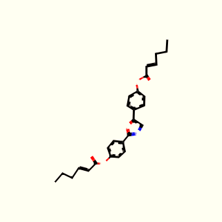 CCC/C=C/C(=O)Oc1ccc(-c2cnc(-c3ccc(OC(=O)/C=C/CCC)cc3)o2)cc1